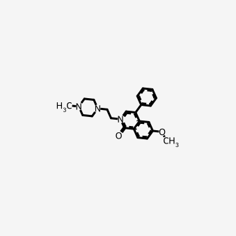 COc1ccc2c(=O)n(CCN3CCN(C)CC3)cc(-c3ccccc3)c2c1